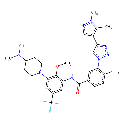 COc1c(NC(=O)c2ccc(C)c(-n3cc(-c4cnn(C)c4C)nn3)c2)cc(C(F)(F)F)cc1N1CCC(N(C)C)CC1